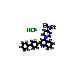 CCN(CC)C1CCN(c2cc(-c3ccc(-c4ccccc4)cc3)nc3ccccc23)CC1.Cl